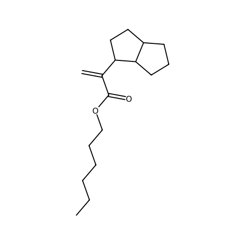 C=C(C(=O)OCCCCCC)C1CCC2CCCC21